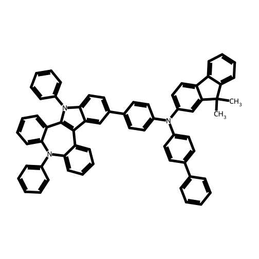 CC1(C)c2ccccc2-c2ccc(N(c3ccc(-c4ccccc4)cc3)c3ccc(-c4ccc5c(c4)c4c(n5-c5ccccc5)-c5ccccc5N(c5ccccc5)c5ccccc5-4)cc3)cc21